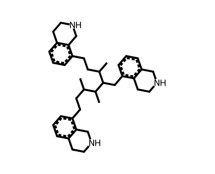 CC(CCc1cccc2c1CNCC2)C(C)C(Cc1cccc2c1CCNC2)C(C)CCc1cccc2c1CNCC2